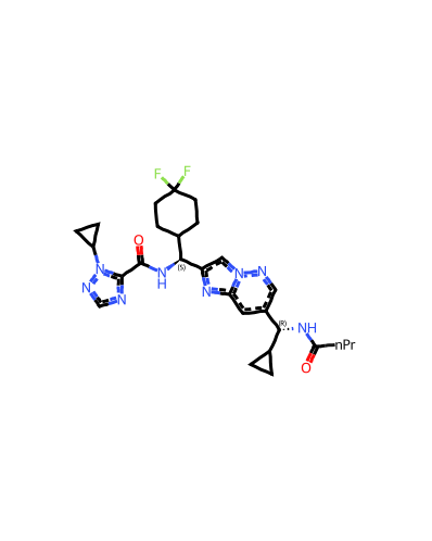 CCCC(=O)N[C@@H](c1cnn2cc([C@@H](NC(=O)c3ncnn3C3CC3)C3CCC(F)(F)CC3)nc2c1)C1CC1